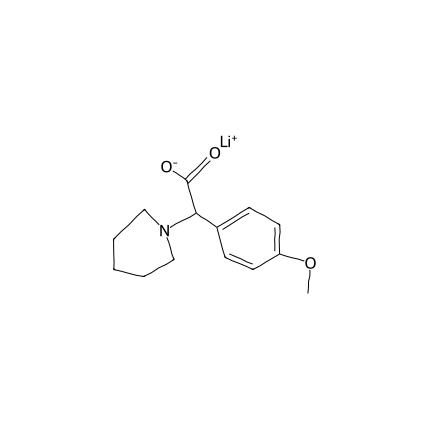 COc1ccc(C(C(=O)[O-])N2CCCCC2)cc1.[Li+]